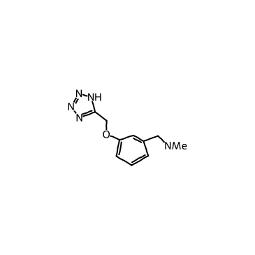 CNCc1cccc(OCc2nnn[nH]2)c1